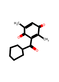 CC1=CC(=O)C(C)=C(C(=O)C2CCCCC2)C1=O